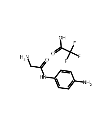 NCC(=O)Nc1ccc(N)cc1.O=C(O)C(F)(F)F